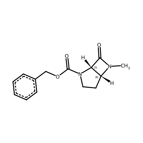 CN1C(=O)[C@@H]2[C@H]1CCN2C(=O)OCc1ccccc1